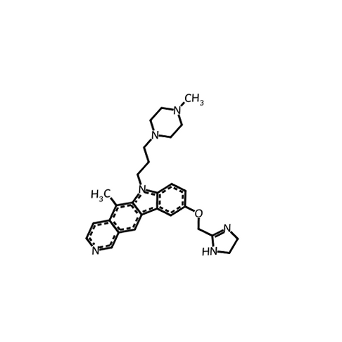 Cc1c2ccncc2cc2c3cc(OCC4=NCCN4)ccc3n(CCCN3CCN(C)CC3)c12